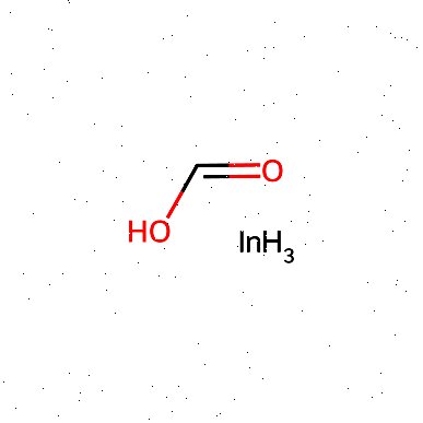 O=CO.[InH3]